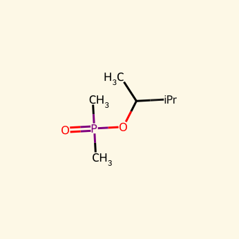 CC(C)C(C)OP(C)(C)=O